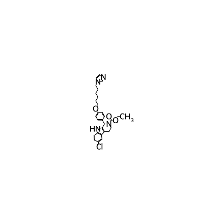 CCOC(=O)N1CCc2c([nH]c3ccc(Cl)cc23)C1c1ccc(OCCCCCCn2ccnc2)cc1